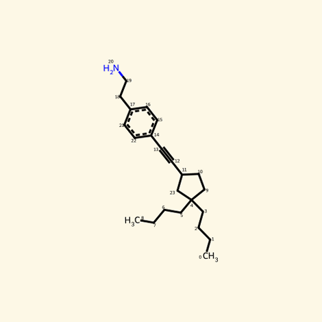 CCCCC1(CCCC)CCC(C#Cc2ccc(CCN)cc2)C1